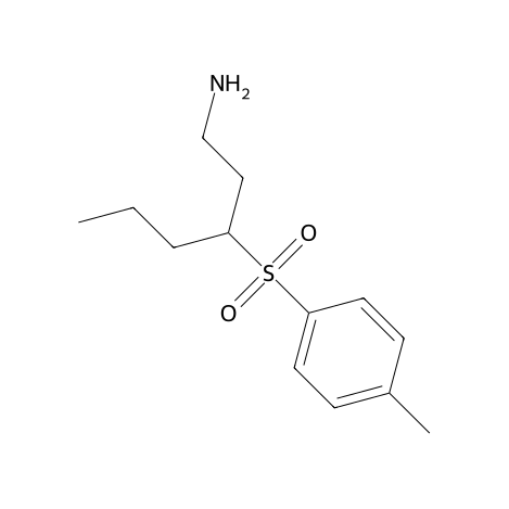 CCCC(CCN)S(=O)(=O)c1ccc(C)cc1